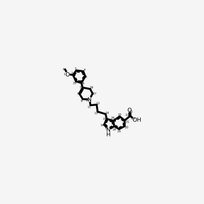 COc1cccc(C2=CCN(CCCCc3c[nH]c4ccc(C(=O)O)cc34)CC2)c1